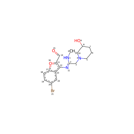 CN/C(CN1CCCC(O)C1)=N\c1c(C=O)oc2ccc(Br)cc12